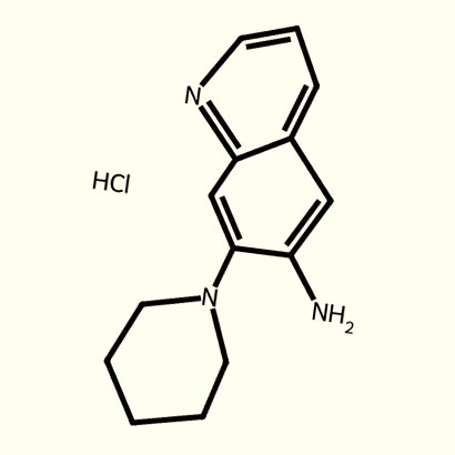 Cl.Nc1cc2cccnc2cc1N1CCCCC1